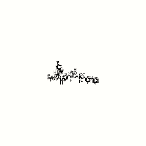 O=C(NCC[C@H](NC(=O)c1ccc(Nc2nc(NC3(c4ccc(Cl)cc4)CC3)nc(OCC(F)(F)F)n2)cc1)C(=O)O)C(=O)Nc1cccc(Cc2ccccn2)c1